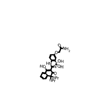 CCCC1(CCC)C(=O)C(C2=NS(O)(O)c3cc(OCC(N)=O)ccc3N2)=C(O)c2ccccc21